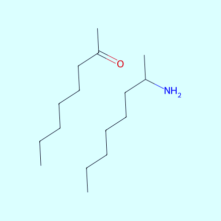 CCCCCCC(C)=O.CCCCCCC(C)N